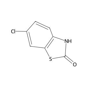 O=c1[nH]c2ccc(Cl)cc2s1